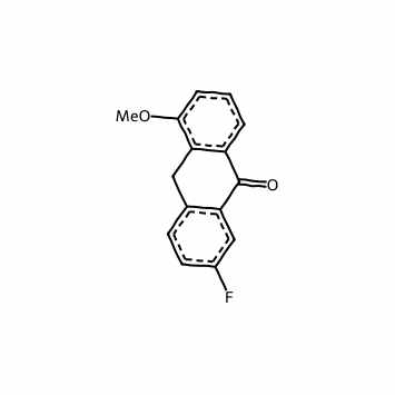 COc1cccc2c1Cc1ccc(F)cc1C2=O